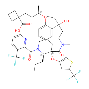 CCC[C@H]1N(C(=O)c2ncccc2C(F)(F)F)CCC[C@@]1(Oc1csc(C(F)(F)F)c1)C(=O)N(C)CCC(O)(CC)c1ccccc1O[C@H](C)CCC1(C(=O)O)CCC1